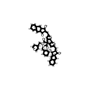 O=C1C(=Cc2cc3c(s2)-c2sc(C=C4C(=O)c5cc6ccccc6cc5C4=O)cc2C3(C(=O)OCc2ccccc2)C(=O)OCc2ccccc2)C(=O)c2cc3ccccc3cc21